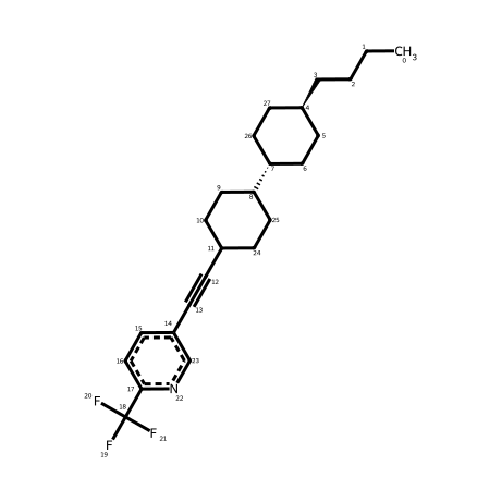 CCCC[C@H]1CC[C@H](C2CCC(C#Cc3ccc(C(F)(F)F)nc3)CC2)CC1